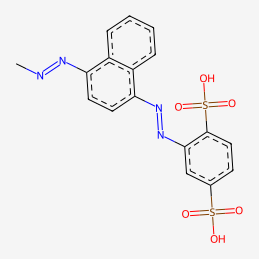 CN=Nc1ccc(N=Nc2cc(S(=O)(=O)O)ccc2S(=O)(=O)O)c2ccccc12